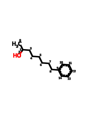 CC(O)CCCCCCc1ccccc1